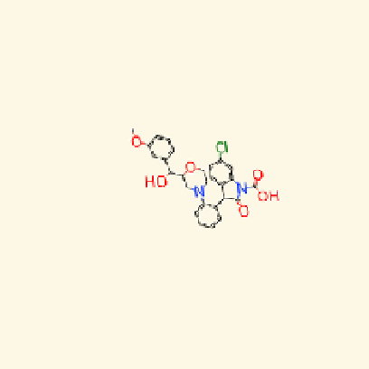 COc1cccc(C(O)C2CN(c3ccccc3C3C(=O)N(C(=O)O)c4cc(Cl)ccc43)CCO2)c1